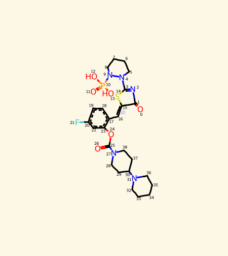 O=C1N=C(N2CCCCN2P(=O)(O)O)S/C1=C\c1ccc(F)cc1OC(=O)N1CCC(N2CCCCC2)CC1